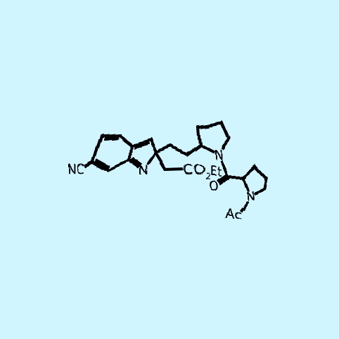 CCOC(=O)CC1(CCC2CCCN2C(=O)C2CCCN2C(C)=O)C=c2ccc(C#N)cc2=N1